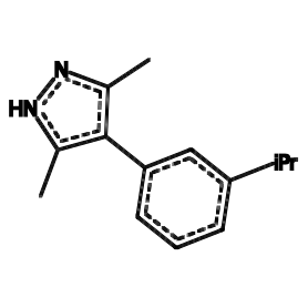 Cc1n[nH]c(C)c1-c1cccc(C(C)C)c1